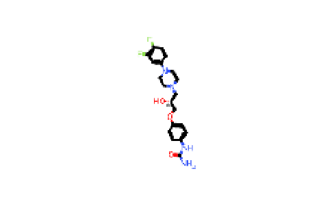 NC(=O)Nc1ccc(OC[C@H](O)CN2CCN(c3ccc(F)c(F)c3)CC2)cc1